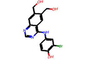 OCc1cc2ncnc(Nc3ccc(O)c(Br)c3)c2cc1CO